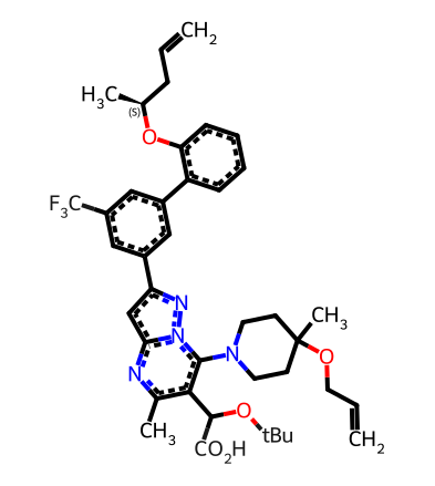 C=CCOC1(C)CCN(c2c(C(OC(C)(C)C)C(=O)O)c(C)nc3cc(-c4cc(-c5ccccc5O[C@@H](C)CC=C)cc(C(F)(F)F)c4)nn23)CC1